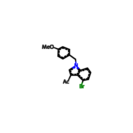 COc1ccc(Cn2cc(C(C)=O)c3c(Br)cccc32)cc1